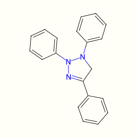 c1ccc(C2=NN(c3ccccc3)N(c3ccccc3)C2)cc1